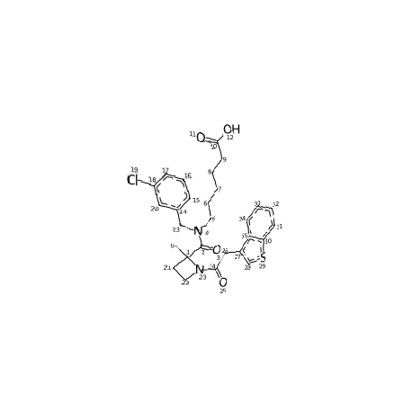 CC1(C(=O)N(CCCCCC(=O)O)Cc2cccc(Cl)c2)CCN1C(=O)Cc1csc2ccccc12